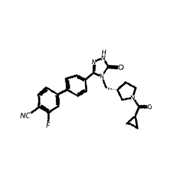 N#Cc1ccc(-c2ccc(-c3n[nH]c(=O)n3C[C@@H]3CCN(C(=O)C4CC4)C3)cc2)cc1F